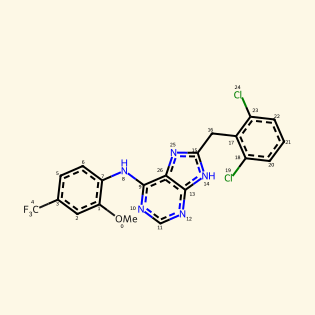 COc1cc(C(F)(F)F)ccc1Nc1ncnc2[nH]c(Cc3c(Cl)cccc3Cl)nc12